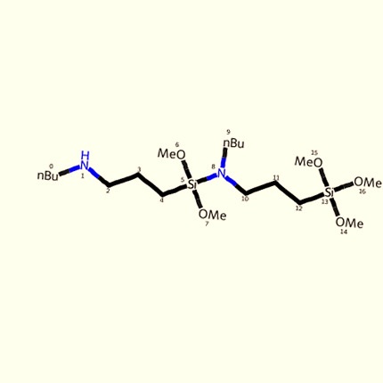 CCCCNCCC[Si](OC)(OC)N(CCCC)CCC[Si](OC)(OC)OC